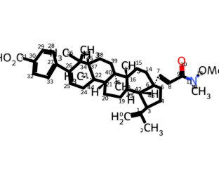 C=C(C)C1CC[C@]2(/C=C/C(=O)N(C)OC)CC[C@]3(C)[C@H](CC[C@@H]4[C@@]5(C)CC=C(c6ccc(C(=O)O)cc6)C(C)(C)[C@@H]5CC[C@]43C)[C@@H]12